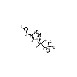 COCc1cn(C(C)(C)CC(C)(C)C)nn1